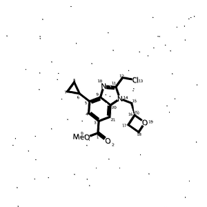 COC(=O)c1cc(C2CC2)c2nc(CCl)n(C[C@@H]3CCO3)c2c1